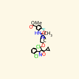 COC(=O)c1ccc(F)c(NC(=O)N2C3CC(OCc4c(-c5c(Cl)cccc5Cl)noc4C4CC4)CC2[C@H](C)C3)c1